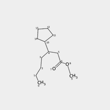 CCCCC(CC(=O)OC)C1CCCC1